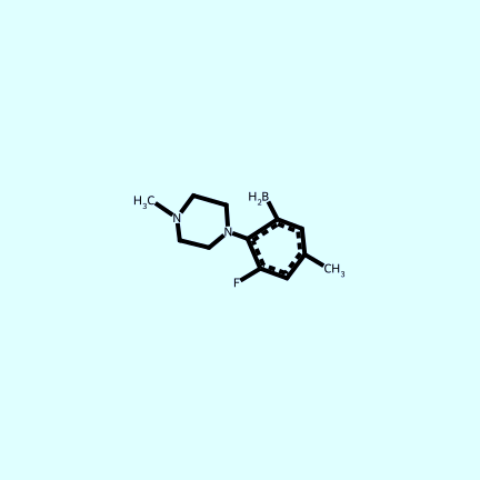 Bc1cc(C)cc(F)c1N1CCN(C)CC1